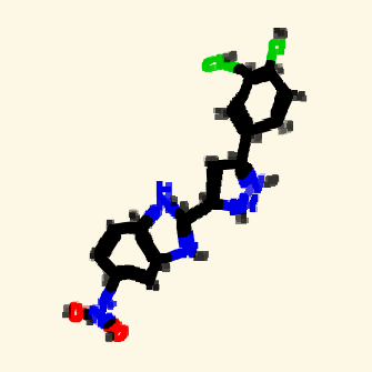 O=[N+]([O-])c1ccc2[nH]c(-c3cc(-c4ccc(Cl)c(Cl)c4)n[nH]3)nc2c1